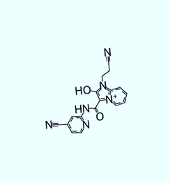 N#CCCn1c(O)c(C(=O)Nc2cc(C#N)ccn2)[n+]2ccccc12